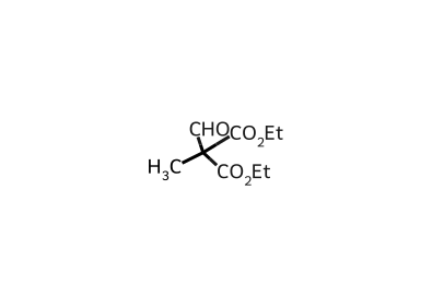 CCOC(=O)C(C)(C=O)C(=O)OCC